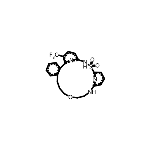 O=S1(=O)Nc2ccc(C(F)(F)F)c(n2)-c2ccccc2CCCOCCNc2cccc1n2